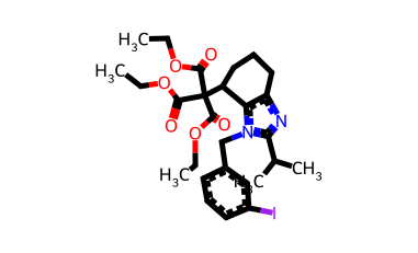 CCOC(=O)C(C(=O)OCC)(C(=O)OCC)C1CCCc2nc(C(C)C)n(Cc3cccc(I)c3)c21